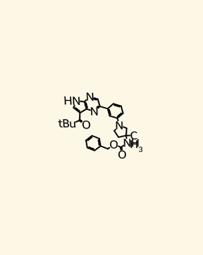 CC1(NC(=O)OCc2ccccc2)CCN(c2cccc(-c3cnc4[nH]cc(C(=O)C(C)(C)C)c4n3)c2)C1